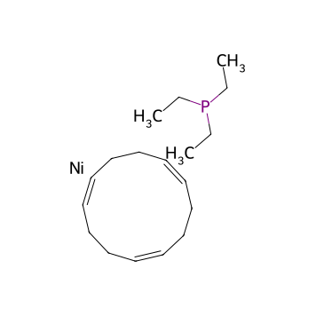 C1=C\CC/C=C\CC/C=C\CC/1.CCP(CC)CC.[Ni]